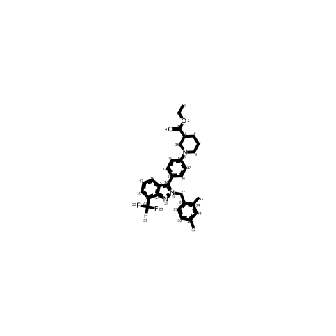 CCOC(=O)C1CCCN(c2ccc(-c3c4cccc(C(F)(F)F)c4nn3Cc3ccc(C)cc3C)cc2)C1